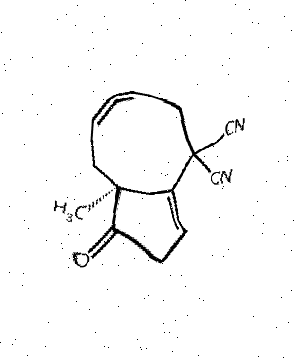 C[C@]12CC=CCC(C#N)(C#N)C1=CCC2=O